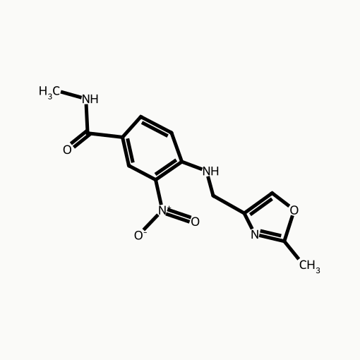 CNC(=O)c1ccc(NCc2coc(C)n2)c([N+](=O)[O-])c1